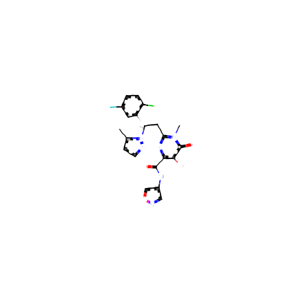 Cc1ccnn1[C@@H](c1cc(F)ccc1Cl)[C@H](C)c1nc(C(=O)Nc2cnoc2)c(O)c(=O)n1C